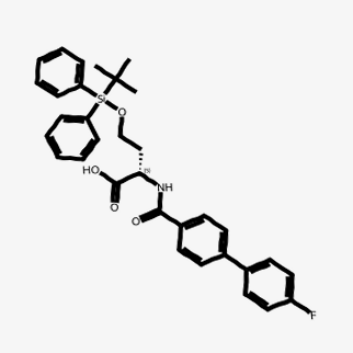 CC(C)(C)[Si](OCC[C@H](NC(=O)c1ccc(-c2ccc(F)cc2)cc1)C(=O)O)(c1ccccc1)c1ccccc1